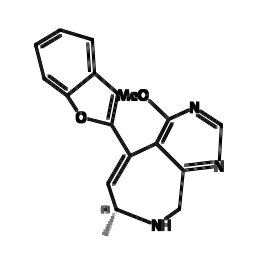 COc1ncnc2c1C(c1cc3ccccc3o1)=C[C@@H](C)NC2